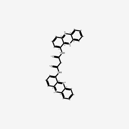 O=C(CC(=O)Nc1cccc2nc3ccccc3nc12)Nc1cccc2nc3ccccc3nc12